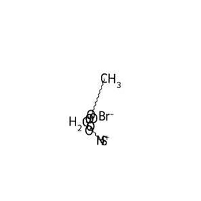 C=C(COC(=O)CCCCCC[n+]1ccsc1)COC(=O)OCCCCCCCCCCCCCCCCCC.[Br-]